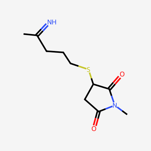 CC(=N)CCCSC1CC(=O)N(C)C1=O